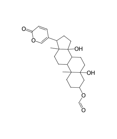 CC12CCC(OC=O)CC1(O)CCC1C2CCC2(C)C(c3ccc(=O)oc3)CCC12O